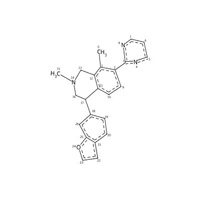 Cc1c(-c2ncccn2)ccc2c1CN(C)CC2c1ccc2ccoc2c1